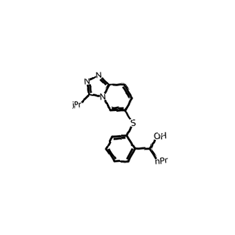 CCCC(O)c1ccccc1Sc1ccc2nnc(C(C)C)n2c1